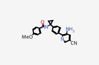 COc1ccc(C(=O)NC2(c3ccc(-c4ncc(C#N)cc4N)cc3)CC2)cc1